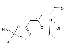 CC(C)(C)OC(=O)C[C@@H](CCC=O)OC(C)(C)O